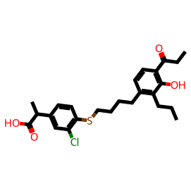 CCCc1c(CCCCSc2ccc(C(C)C(=O)O)cc2Cl)ccc(C(=O)CC)c1O